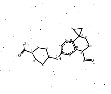 CC(=O)N1CCC(Nc2ccc3c(c2)C(C=O)NCC32CC2)CC1